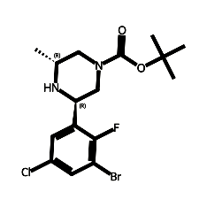 C[C@@H]1CN(C(=O)OC(C)(C)C)C[C@@H](c2cc(Cl)cc(Br)c2F)N1